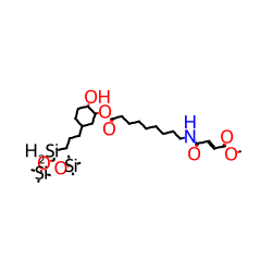 COC(=O)C=CC(=O)NCCCCCCCCC(=O)OC1CC(CCC[SiH2]C(O[Si](C)(C)C)O[Si](C)(C)C)CCC1O